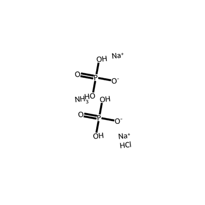 Cl.N.O=P([O-])(O)O.O=P([O-])(O)O.[Na+].[Na+]